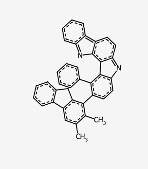 Cc1cc2c(c(-c3ccc4c(c3-c3ccccc3)-c3c5c(ccc3=N4)=c3ccccc3=N5)c1C)Cc1ccccc1-2